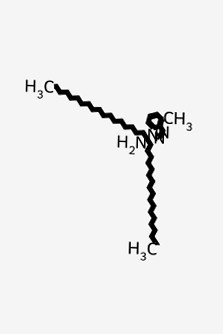 CCCCCCCCCCCCCCCCCCC(N)(CCCCCCCCCCCCCCCCCC)n1nnc2c(C)cccc21